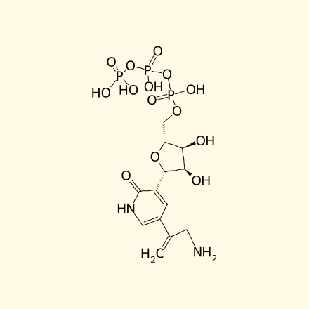 C=C(CN)c1c[nH]c(=O)c([C@@H]2O[C@H](COP(=O)(O)OP(=O)(O)OP(=O)(O)O)[C@@H](O)[C@H]2O)c1